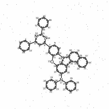 c1ccc(-c2cc(-c3ccc4c(c3)Oc3cc(N(c5ccccc5)c5ccccc5)cc5c6c7ccccc7ccc6n-4c35)nc(-c3ccccc3)n2)cc1